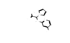 CC(C)(C)C(=O)C(Oc1cc(Cl)ccn1)n1cccc1